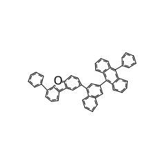 c1ccc(-c2c3ccccc3c(-c3cc(-c4ccc5oc6c(-c7ccccc7)cccc6c5c4)c4ccccc4c3)c3ccccc23)cc1